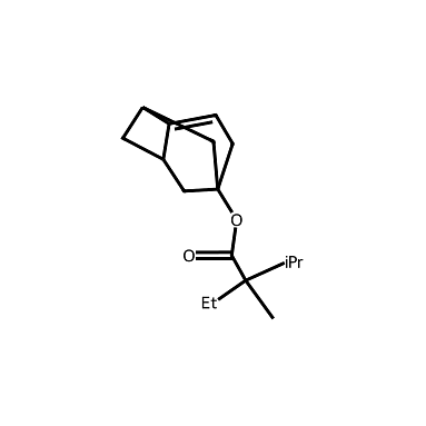 CCC(C)(C(=O)OC12CC=C3C(CC3C1)C2)C(C)C